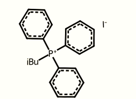 CCC(C)[P+](c1ccccc1)(c1ccccc1)c1ccccc1.[I-]